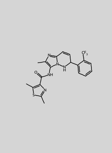 Cc1nc(C(=O)Nc2c(C)nc3n2NC(c2ccccc2C(F)(F)F)C=C3)c(C)s1